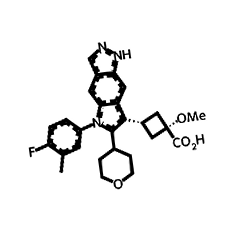 CO[C@]1(C(=O)O)C[C@H](c2c(C3CCOCC3)n(-c3ccc(F)c(C)c3)c3cc4cn[nH]c4cc32)C1